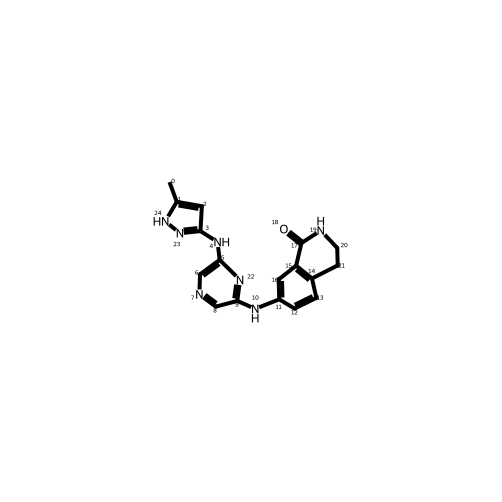 Cc1cc(Nc2cncc(Nc3ccc4c(c3)C(=O)NCC4)n2)n[nH]1